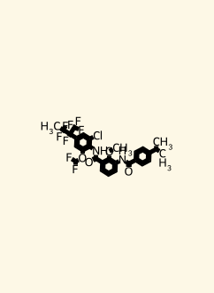 COc1c(NC(=O)c2ccc(C(C)C)cc2)cccc1C(=O)Nc1c(Cl)cc(C(F)(C(C)(F)F)C(F)(F)F)cc1OC(F)F